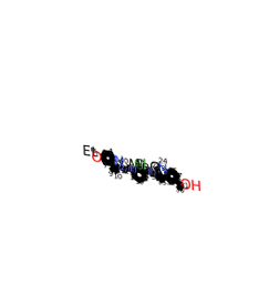 CCOc1ccc2c(c1)C(C)(C)/C(=C/C=C1\CCCC(/C=C/C3(OC)N(C)c4ccc(C(C)O)cc4C3(C)C)=C1Cl)N2C